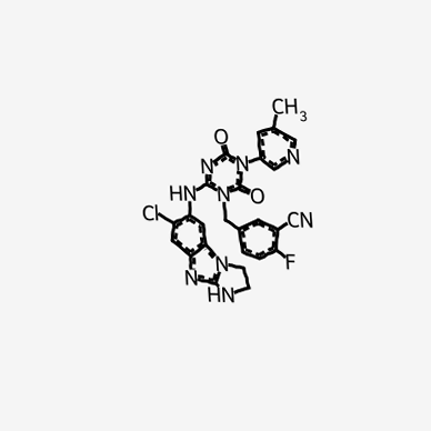 Cc1cncc(-n2c(=O)nc(Nc3cc4c(cc3Cl)nc3n4CCN3)n(Cc3ccc(F)c(C#N)c3)c2=O)c1